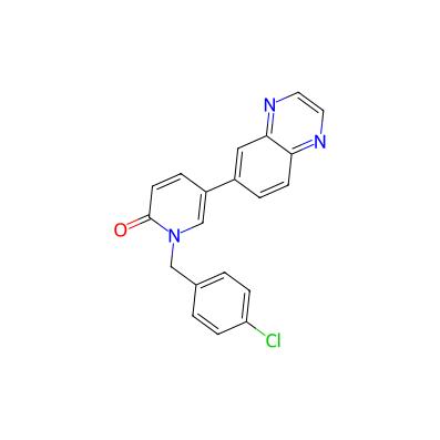 O=c1ccc(-c2ccc3nccnc3c2)cn1Cc1ccc(Cl)cc1